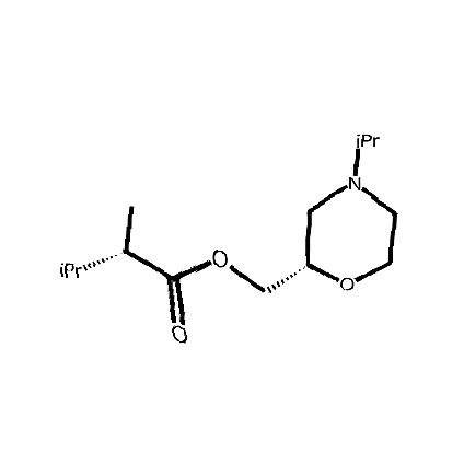 CC(C)[C@H](C)C(=O)OC[C@@H]1CN(C(C)C)CCO1